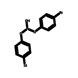 CCc1ccc(OP(O)Oc2ccc(CC)cc2)cc1